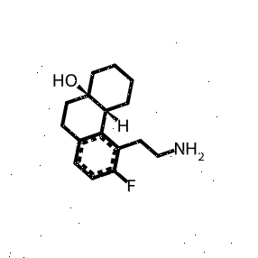 NCCc1c(F)ccc2c1[C@H]1CCCC[C@@]1(O)CC2